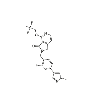 Cn1cc(-c2ccc(CN3Cc4ccnc(OCC(C)(F)F)c4C3=O)c(F)c2)cn1